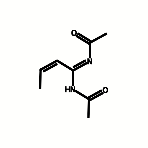 C/C=C\C(=N/C(C)=O)NC(C)=O